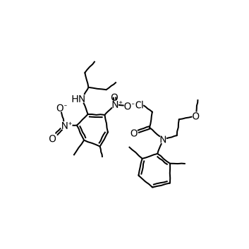 CCC(CC)Nc1c([N+](=O)[O-])cc(C)c(C)c1[N+](=O)[O-].COCCN(C(=O)CCl)c1c(C)cccc1C